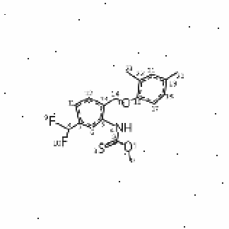 COC(=S)Nc1cc(C(F)F)ccc1COc1ccc(C)cc1C